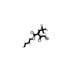 CCCCOC(=O)C(=CC(C)(C)C)C(=O)CBr